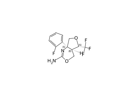 NC1=N[C@@]2(c3ccccc3F)CO[C@H](C(F)(F)F)[C@H]2CO1